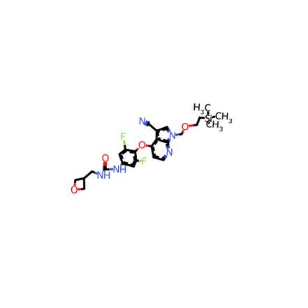 C[Si](C)(C)CCOCn1cc(C#N)c2c(Oc3c(F)cc(NC(=O)NCC4COC4)cc3F)ccnc21